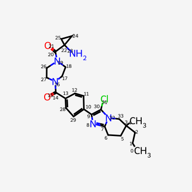 CCCC1(C)CCc2nc(-c3ccc(C(=O)N4CCN(C(=O)C5(N)CC5)CC4)cc3)c(Cl)n2C1